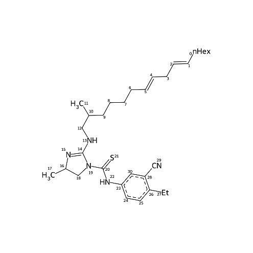 CCCCCCC=CCC=CCCCCC(C)CNC1=NC(C)CN1C(=S)Nc1ccc(CC)c(C#N)c1